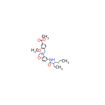 CCCCC(CC)C(=O)Nc1ccc2c(c1)N(Cc1ccc(C(=O)OC)cc1OC)CCO2